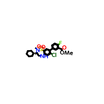 COC(=O)c1cc(-c2cc3c(cc2Cl)NC[C@@H](C2CCCCC2)N(C)S3(=O)=O)ccc1F